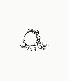 C=C[C@@H]1CC[C@H]2C[C@H](OC)/C(C)=C/C=C/C=C/[C@@H](C)C[C@@H](C)C(=O)[C@H](OC)[C@H](CCC(=O)O)/C(C)=C/[C@@H](C)C(=O)C[C@@H]([C@H](N)C[C@@H]3CC[C@@H](O)[C@H](OC)C3)OC(=O)[C@@H]3CCCCN3C(=O)C(=O)[C@]1(O)O2